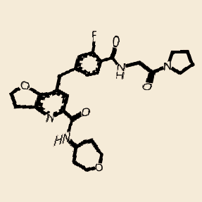 O=C(NC1CCOCC1)c1cc(Cc2ccc(C(=O)NCC(=O)N3CCCC3)c(F)c2)c2c(n1)CCO2